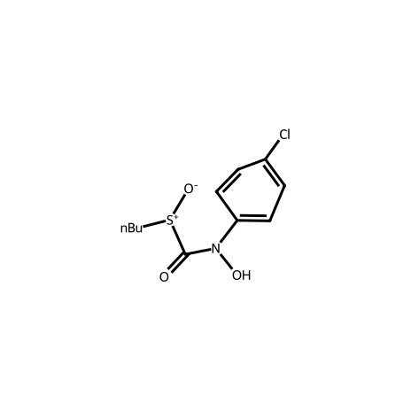 CCCC[S+]([O-])C(=O)N(O)c1ccc(Cl)cc1